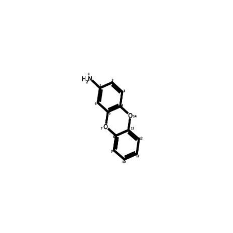 Nc1ccc2c(c1)Oc1ccccc1O2